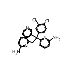 Nc1cccc(CC(c2cccnc2)(c2ccc(Cl)c(Cl)c2)c2cccc(N)n2)n1